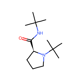 CC(C)(C)NC(=O)[C@@H]1CCCN1C(C)(C)C